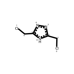 ClCc1nnc(CCl)[nH]1